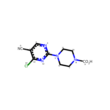 N#Cc1cnc(N2CCN(C(=O)O)CC2)nc1Cl